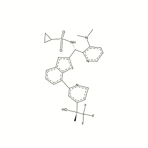 CN(C)c1cccnc1[C@@H](NS(=O)(=O)C1CC1)c1cc2cccc(-c3cc([C@@](C)(O)C(F)(F)F)ccn3)c2s1